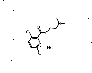 CN(C)CCOC(=O)c1nc(Cl)ccc1Cl.Cl